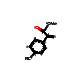 C=C(C(=O)OC)c1ccc(C#N)cc1